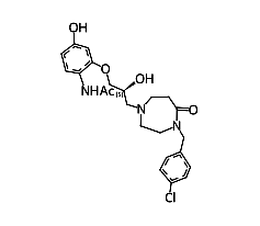 CC(=O)Nc1ccc(O)cc1OC[C@@H](O)CN1CCC(=O)N(Cc2ccc(Cl)cc2)CC1